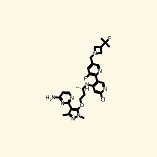 Cc1nn(C)c(OCC[C@H](C)Nc2cc(Cl)ncc2-c2ncc(CN3CC(C(C)(C)F)C3)cc2F)c1-c1nccc(N)n1